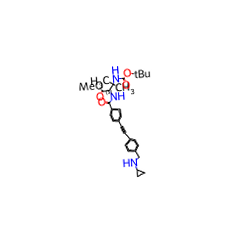 COC(=O)[C@@H](NC(=O)c1ccc(C#Cc2ccc(CNC3CC3)cc2)cc1)C(C)(C)NC(=O)OC(C)(C)C